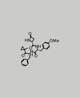 COc1ccc(C[C@H](NC(=O)[C@@H]2CC(=O)N2)C(=O)N[C@@H](Cc2ccccc2)C(=O)C2(C)CC2)cc1